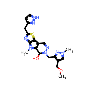 COCc1cn(C)nc1CN1N=Cc2c(n(C)c3nc(Cc4cc[nH]n4)sc23)C1O